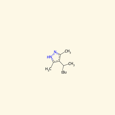 Cc1n[nH]c(C)c1C(C)C(C)(C)C